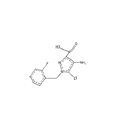 Nc1c(C(=O)O)nn(Cc2ccccc2F)c1Cl